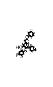 Oc1nc(CCOc2ccccc2)nc(-c2ccncc2)c1Sc1ccc(F)cc1